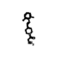 Cc1cccc(C)c1/C=C/C1CCN(C(=O)CN)CC1